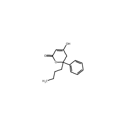 CCCCC1(c2ccccc2)CC(O)=CC(=O)O1